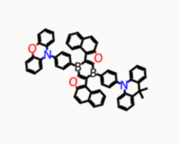 CC1(C)c2ccccc2N(c2ccc(B3c4oc5ccc6ccccc6c5c4B(c4ccc(N5c6ccccc6Oc6ccccc65)cc4)c4oc5ccc6ccccc6c5c43)cc2)c2ccccc21